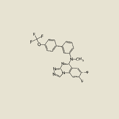 CN(c1cccc(-c2ccc(OC(F)(F)F)cc2)c1)c1nc2nncn2c2cc(F)c(F)cc12